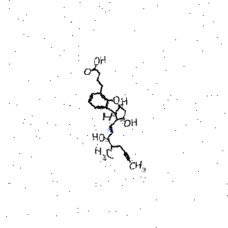 CC#CCC(C)[C@H](O)/C=C/C1[C@H](O)C[C@@H]2Oc3c(CCCC(=O)O)cccc3[C@H]12